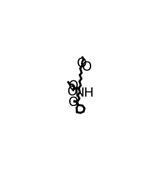 CCOC(=O)CCCCCCC(NCCC(=O)C1CCCCCC1)C(=O)OCC